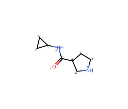 O=C(NC1CC1)C1CCNC1